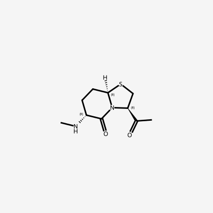 CN[C@@H]1CC[C@H]2SC[C@@H](C(C)=O)N2C1=O